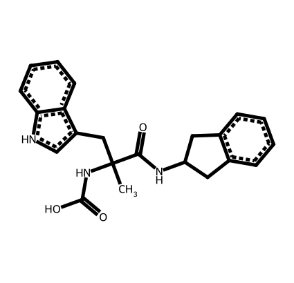 CC(Cc1c[nH]c2ccccc12)(NC(=O)O)C(=O)NC1Cc2ccccc2C1